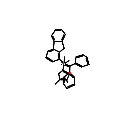 CC1=C(C)C[C]([Zr]([CH3])([CH3])(=[C](c2ccccc2)c2ccccc2)[c]2cccc3c2Cc2ccccc2-3)=C1